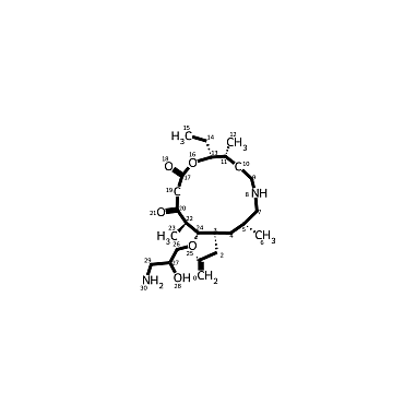 C=CC[C@H]1C[C@@H](C)CNCC[C@@H](C)[C@@H](CC)OC(=O)CC(=O)[C@H](C)[C@H]1OCC(O)CN